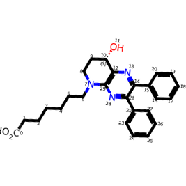 O=C(O)CCCCCCN1CC[C@H](O)c2nc(-c3ccccc3)c(-c3ccccc3)nc21